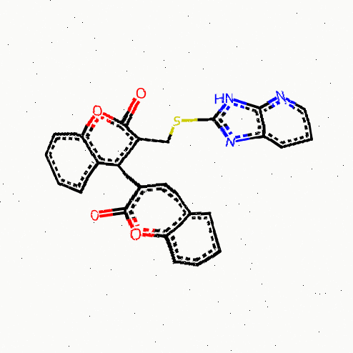 O=c1oc2ccccc2cc1-c1c(CSc2nc3cccnc3[nH]2)c(=O)oc2ccccc12